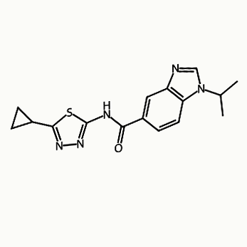 CC(C)n1cnc2cc(C(=O)Nc3nnc(C4CC4)s3)ccc21